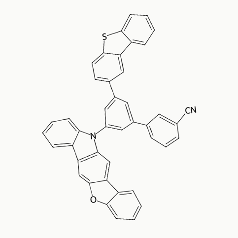 N#Cc1cccc(-c2cc(-c3ccc4sc5ccccc5c4c3)cc(-n3c4ccccc4c4cc5oc6ccccc6c5cc43)c2)c1